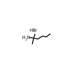 Br.CCCCC(C)(C)N